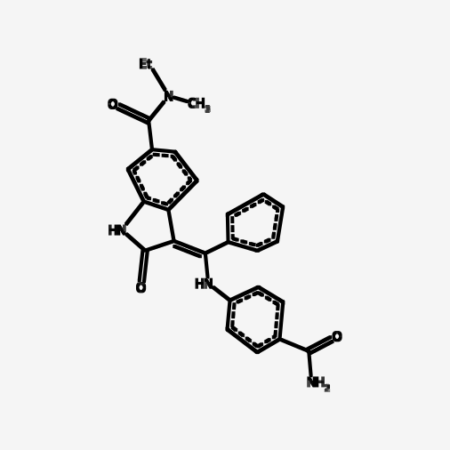 CCN(C)C(=O)c1ccc2c(c1)NC(=O)/C2=C(\Nc1ccc(C(N)=O)cc1)c1ccccc1